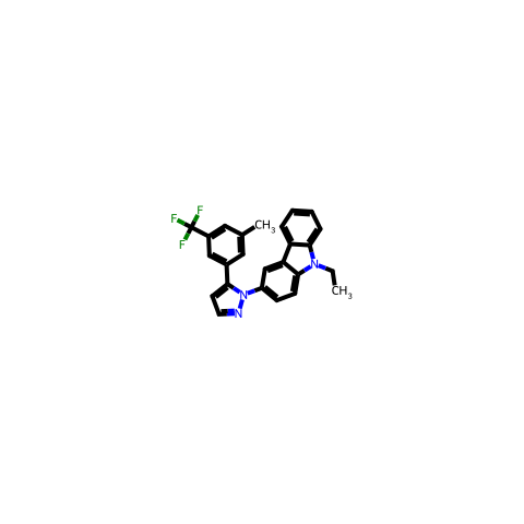 CCn1c2ccccc2c2cc(-n3nccc3-c3cc(C)cc(C(F)(F)F)c3)ccc21